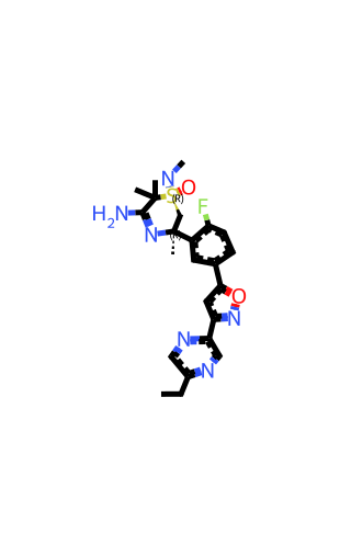 CCc1cnc(-c2cc(-c3ccc(F)c([C@]4(C)C[S@](=O)(=NC)C(C)(C)C(N)=N4)c3)on2)cn1